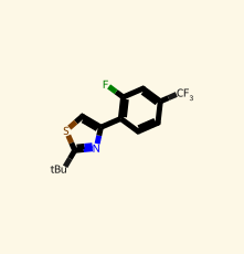 CC(C)(C)c1nc(-c2ccc(C(F)(F)F)cc2F)cs1